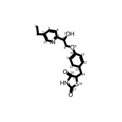 CCc1ccc(C(O)COC2=CCC(CC3SC(=O)NC3=O)C=C2)nc1